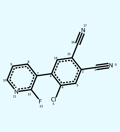 N#Cc1cc(Cl)c(-c2cccnc2F)cc1C#N